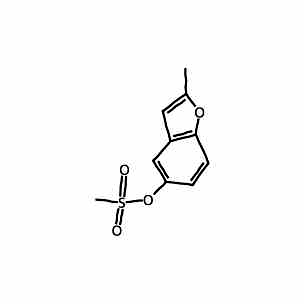 Cc1cc2cc(OS(C)(=O)=O)ccc2o1